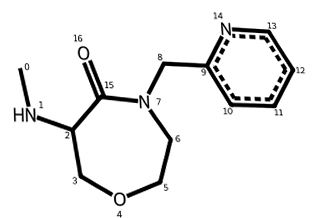 CNC1COCCN(Cc2ccccn2)C1=O